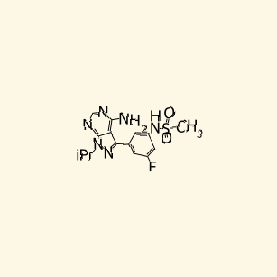 CC(C)n1nc(-c2cc(F)cc(NS(C)(=O)=O)c2)c2c(N)ncnc21